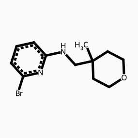 CC1(CNc2cccc(Br)n2)CCOCC1